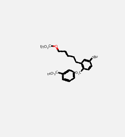 CCCCc1ccc(C(=O)O)c(CCCCCOC(=O)OCC)c1.O=C(O)c1ccccc1